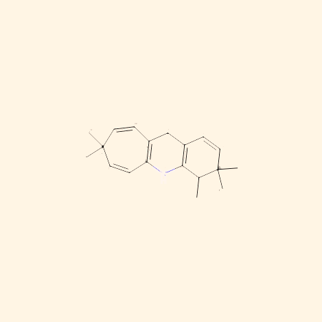 CC1C2=C(C=CC1(C)C)CC1=C(C=CC(C)(C)C=C1)N2